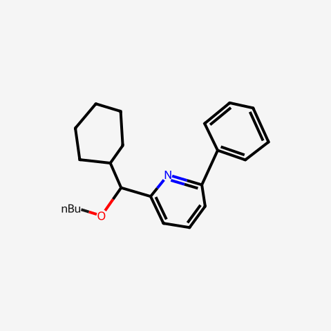 CCCCOC(c1cccc(-c2ccccc2)n1)C1CCCCC1